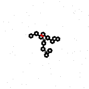 c1ccc(-c2cccc(-c3ccc(N(c4ccc(-c5cccc(-n6c7ccccc7c7ccccc76)c5)cc4)c4cc(-c5cccc6c5ccc5ccccc56)ccc4-c4ccccc4)cc3)c2)cc1